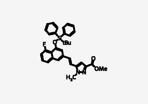 COC(=O)c1cc(C=Cc2cc(O[Si](c3ccccc3)(c3ccccc3)C(C)(C)C)c3c(F)cccc3c2)n(C)n1